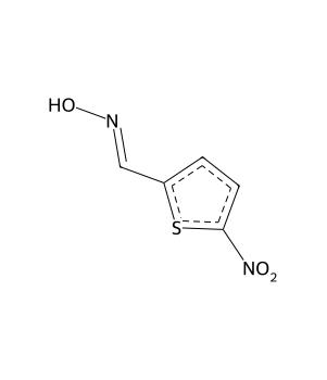 O=[N+]([O-])c1ccc(/C=N/O)s1